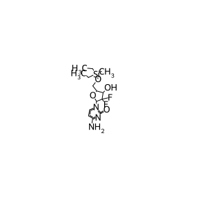 CC[Si](C)(CC)OCC1OC(n2ccc(N)nc2=O)C(F)(F)C1O